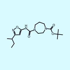 CCC(C)c1cc(NC(=O)N2CCCN(C(=O)OC(C)(C)C)CC2)on1